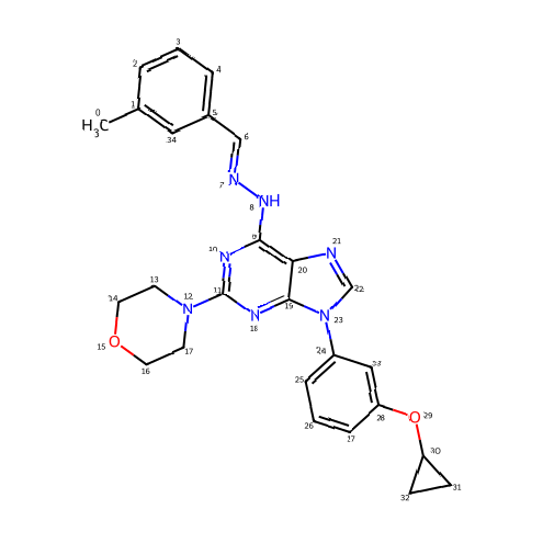 Cc1cccc(C=NNc2nc(N3CCOCC3)nc3c2ncn3-c2cccc(OC3CC3)c2)c1